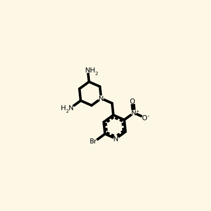 NC1CC(N)CN(Cc2cc(Br)ncc2[N+](=O)[O-])C1